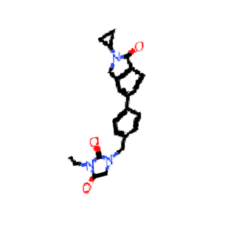 CCN1C(=O)CN(Cc2ccc(-c3ccc4c(c3)CN(C3CC3)C4=O)cc2)C1=O